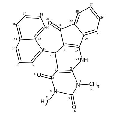 Cn1c2c(c(=O)n(C)c1=O)C(c1cccc3ccccc13)C1=C(N2)c2ccccc2C1=O